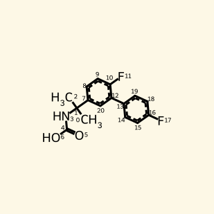 CC(C)(NC(=O)O)c1ccc(F)c(-c2ccc(F)cc2)c1